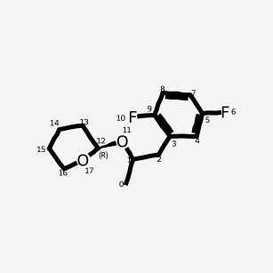 CC(Cc1cc(F)ccc1F)O[C@@H]1CCCCO1